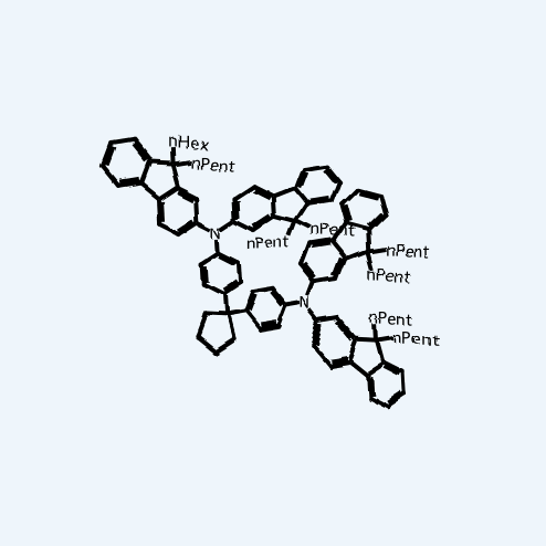 CCCCCCC1(CCCCC)c2ccccc2-c2ccc(N(c3ccc(C4(c5ccc(N(c6ccc7c(c6)C(CCCCC)(CCCCC)c6ccccc6-7)c6ccc7c(c6)C(CCCCC)(CCCCC)c6ccccc6-7)cc5)CCCC4)cc3)c3ccc4c(c3)C(CCCCC)(CCCCC)c3ccccc3-4)cc21